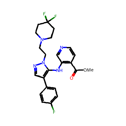 COC(=O)c1ccncc1Nc1c(-c2ccc(F)cc2)cnn1CCN1CCC(F)(F)CC1